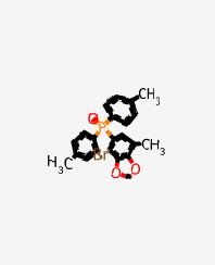 Cc1ccc(P(=O)(c2ccc(C)cc2)c2cc(C)c3c(c2Br)OCO3)cc1